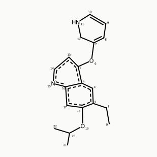 CCc1cc2c(OC3=CC=CNC3)ccnc2cc1OC(C)C